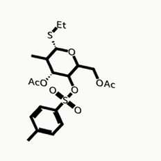 CCS[C@@H]1OC(COC(C)=O)C(OS(=O)(=O)c2ccc(C)cc2)[C@H](OC(C)=O)C1C